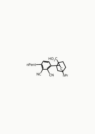 CCCCCc1ccc(C2CC3(CCC)CCC2(C(=O)O)CC3)c(C#N)c1C#N